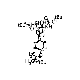 CC(C)(C)OC(=O)N[C@](C)(CCc1ccc(O[Si](C)(C)C(C)(C)C)cc1)C(C)(C)O[SiH2]C(C)(C)C